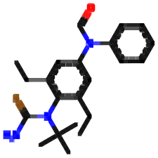 CCc1cc(N(C=O)c2ccccc2)cc(CC)c1N(C(N)=S)C(C)(C)C